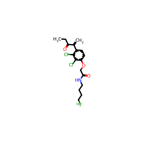 C=C(C(=O)CC)c1ccc(OCC(=O)NCCCC[18F])c(Cl)c1Cl